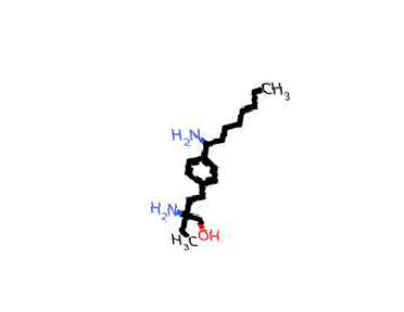 CCCCCCCC(N)c1ccc(CCC(N)(CC)CO)cc1